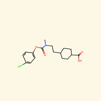 CN(CCC1CCC(C(=O)O)CC1)C(=O)Oc1ccc(Cl)cc1